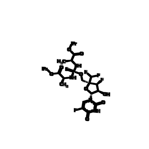 CC(C)OC(=O)[C@H](C)NP(=S)(N[C@@H](C)C(=O)OC(C)C)OC[C@@]1(C(F)F)O[C@@H](n2cc(F)c(=O)[nH]c2=O)[C@H](O)[C@@H]1F